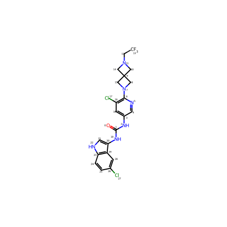 O=C(Nc1cnc(N2CC3(CN(CC(F)(F)F)C3)C2)c(Cl)c1)Nc1c[nH]c2ccc(Cl)cc12